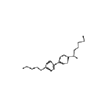 CCCCCc1ccc(C2=CCC(C(C)CCCCC)CC2)cc1